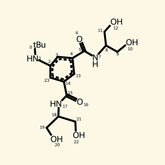 CC(C)(C)Nc1cc(C(=O)NC(CO)CO)cc(C(=O)NC(CO)CO)c1